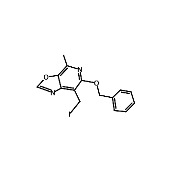 Cc1nc(OCc2ccccc2)c(CI)c2ncoc12